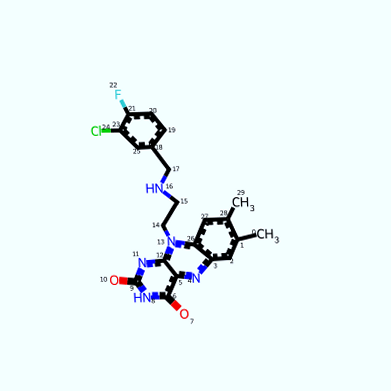 Cc1cc2nc3c(=O)[nH]c(=O)nc-3n(CCNCc3ccc(F)c(Cl)c3)c2cc1C